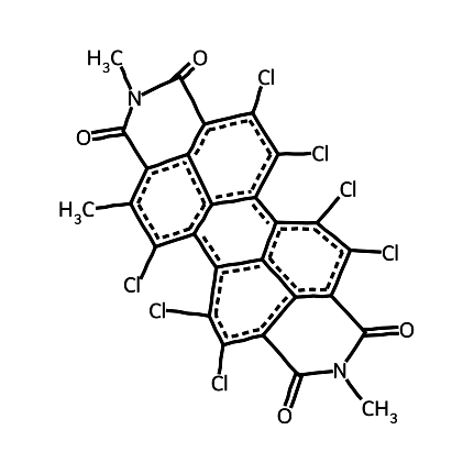 Cc1c2c3c(c(Cl)c(Cl)c4c5c(Cl)c(Cl)c6c7c(c(Cl)c(Cl)c(c(c1Cl)c34)c75)C(=O)N(C)C6=O)C(=O)N(C)C2=O